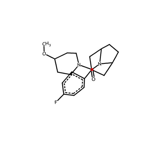 COC1CCN(C(=O)N2C3CCC2CC(c2ccc(F)cc2)C3)CC1